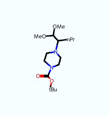 CCCC(C(OC)OC)N1CCN(C(=O)OC(C)(C)C)CC1